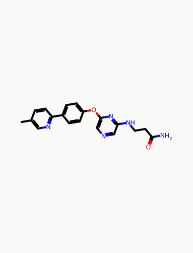 Cc1ccc(-c2ccc(Oc3cncc(NCCC(N)=O)n3)cc2)nc1